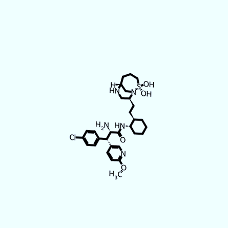 COc1ccc([C@H](c2ccc(Cl)cc2)[C@H](N)C(=O)N[C@H]2CCCC[C@@H]2CC[C@H]2CN[C@@H]3CCCS(O)(O)N2C3)cn1